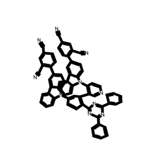 N#Cc1ccc(-c2ccc3c(c2)c2ccccc2n3-c2ccc(-c3nc(-c4ccccc4)nc(-c4ccccc4)n3)c(-c3cnccc3-n3c4ccccc4c4cc(-c5ccc(C#N)cc5C#N)ccc43)c2)c(C#N)c1